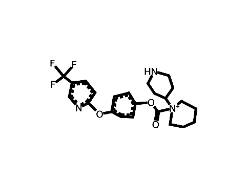 O=C(Oc1ccc(Oc2ccc(C(F)(F)F)cn2)cc1)[N+]1(C2CCNCC2)CCCCC1